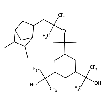 CC1C2CC(CC(OC(C)(C)C3CC(C(O)(C(F)(F)F)C(F)(F)F)CC(C(O)(C(F)(F)F)C(F)(F)F)C3)(C(F)(F)F)C(F)(F)F)C(C2)C1C